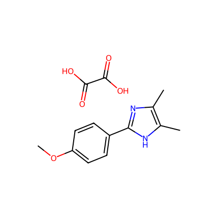 COc1ccc(-c2nc(C)c(C)[nH]2)cc1.O=C(O)C(=O)O